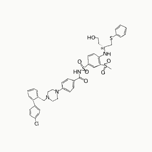 CS(=O)(=O)c1cc(S(=O)(=O)NC(=O)c2ccc(N3CCN(Cc4ccccc4-c4ccc(Cl)cc4)CC3)cc2)ccc1N[C@H](CCO)CSc1ccccc1